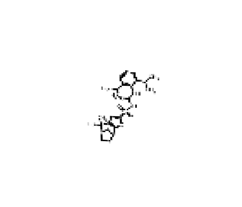 CC(C)c1cccc(C(C)C)c1NC(=O)NS(=O)(=O)c1cc2c(o1)C1CCC(C1)C2(C)O